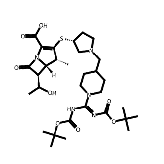 CC(O)[C@H]1C(=O)N2C(C(=O)O)=C(S[C@@H]3CCN(CC4CCN(C(=NC(=O)OC(C)(C)C)NC(=O)OC(C)(C)C)CC4)C3)[C@H](C)[C@H]12